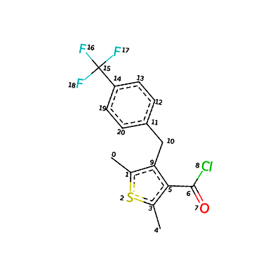 Cc1sc(C)c(C(=O)Cl)c1Cc1ccc(C(F)(F)F)cc1